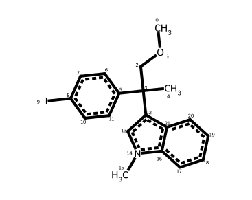 COCC(C)(c1ccc(I)cc1)c1cn(C)c2ccccc12